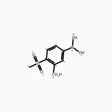 CS(=O)(=O)c1ccc(B(O)O)cc1C(=O)O